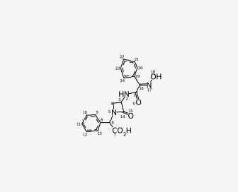 O=C(NC1CN(C(C(=O)O)c2ccccc2)C1=O)/C(=N/O)c1ccccc1